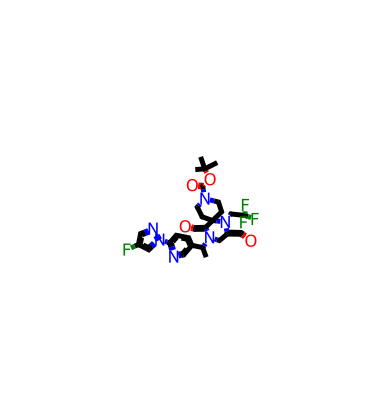 CC(c1ccc(-n2cc(F)cn2)nc1)N1CC(=C=O)N(CC(F)(F)F)C2(CCN(C(=O)OC(C)(C)C)CC2)C1=C=O